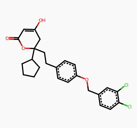 O=C1C=C(O)CC(CCc2ccc(OCc3ccc(Cl)c(Cl)c3)cc2)(C2CCCC2)O1